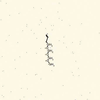 C=CC[SiH2]O[SiH2]O[SiH2]O[SiH3]